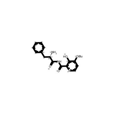 CC(C)COc1ccnc(C(=O)NC(=O)[C@@H](N)Cc2ccccc2)c1O